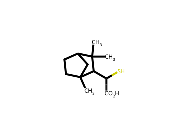 CC12CCC(C1)C(C)(C)C2C(S)C(=O)O